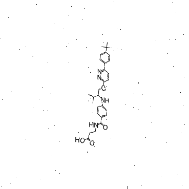 CC(C)C(COc1ccc(-c2ccc(C(C)(C)C)cc2)nn1)Nc1ccc(C(=O)NCCC(=O)O)cc1